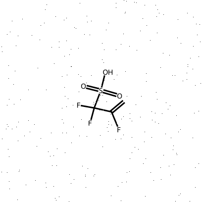 C=C(F)C(F)(F)S(=O)(=O)O